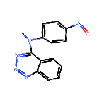 CN(c1ccc(N=O)cc1)c1nnnc2ccccc12